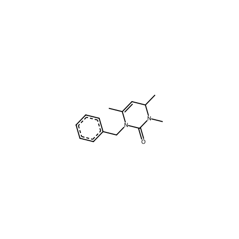 CC1=CC(C)N(C)C(=O)N1Cc1ccccc1